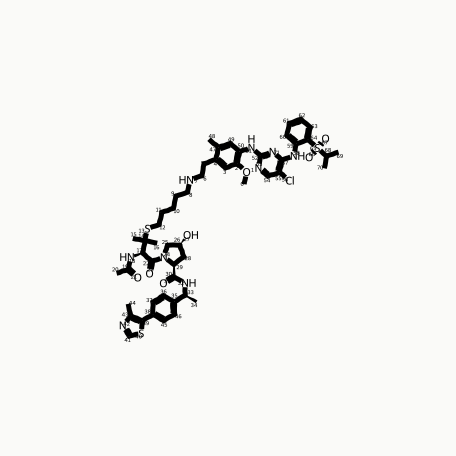 COc1cc(CCNCCCCCSC(C)(C)[C@H](NC(C)=O)C(=O)N2C[C@H](O)C[C@H]2C(=O)N[C@@H](C)c2ccc(-c3scnc3C)cc2)c(C)cc1Nc1ncc(Cl)c(Nc2ccccc2S(=O)(=O)C(C)C)n1